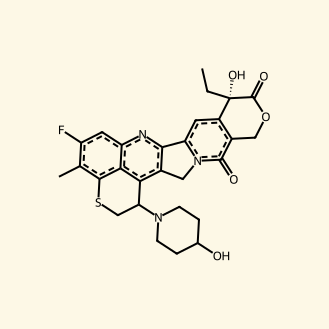 CC[C@@]1(O)C(=O)OCc2c1cc1n(c2=O)Cc2c-1nc1cc(F)c(C)c3c1c2C(N1CCC(O)CC1)CS3